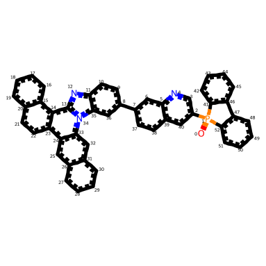 O=P1(c2cnc3cc(-c4ccc5nc6c7c8ccccc8ccc7c7cc8ccccc8cc7n6c5c4)ccc3c2)c2ccccc2-c2ccccc21